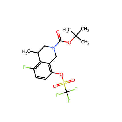 CC1CN(C(=O)OC(C)(C)C)Cc2c(OS(=O)(=O)C(F)(F)F)ccc(F)c21